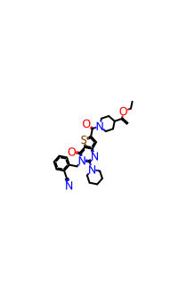 C=C(OCC)C1CCN(C(=O)c2cc3nc(N4CCCCC4)n(Cc4ccccc4C#N)c(=O)c3s2)CC1